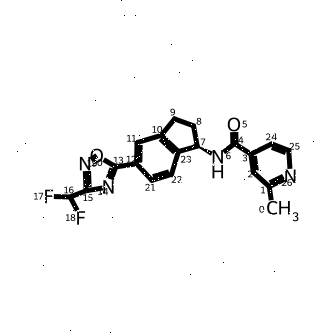 Cc1cc(C(=O)N[C@@H]2CCc3cc(-c4nc(C(F)F)no4)ccc32)ccn1